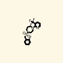 O=S(=O)(Cc1ccccc1F)N1CCCN(c2ncccc2C(F)(F)F)CC1